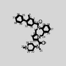 Cc1cc(C(=O)N2Cc3ccc(C(=O)N(C)C4CCN(C)CC4)n3Cc3ccccc32)ccc1-c1ccccc1